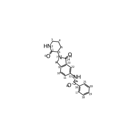 O=C1NCCCC1N1Cc2ccc(N[S+]([O-])c3ccccc3)cc2C1=O